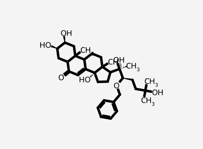 CC(C)(O)CC[C@@H](OCc1ccccc1)[C@](C)(O)C1CC[C@@]2(O)C3=CC(=O)C4C[C@@H](O)[C@@H](O)CC4(C)C3CCC12C